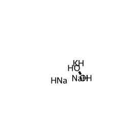 OO.[KH].[NaH].[NaH]